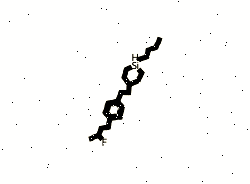 CCCCC[SiH]1CCC(CCc2ccc(CCC(C)F)cc2)CC1